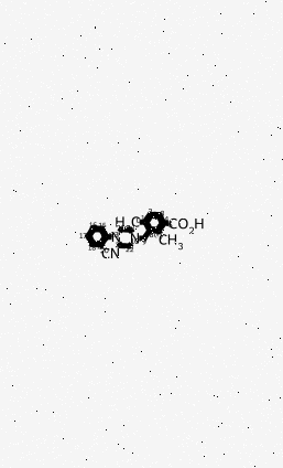 Cc1ccc(C(=O)O)c(C)c1CN1CCN(c2ccccc2C#N)CC1